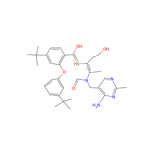 C/C(=C(CCO)/[SH]=C(\O)c1ccc(C(C)(C)C)cc1Oc1cccc(C(C)(C)C)c1)N(C=O)Cc1cnc(C)nc1N